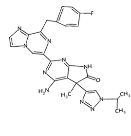 CC(C)n1cc(C2(C)C(=O)Nc3nc(-c4cn5ccnc5c(Cc5ccc(F)cc5)n4)nc(N)c32)nn1